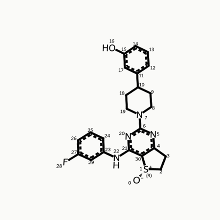 [O-][S@@+]1CCc2nc(N3CCC(c4cccc(O)c4)CC3)nc(Nc3cccc(F)c3)c21